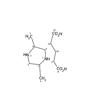 CC1CNC(C)CN1.O=C(O)CCCC(=O)O